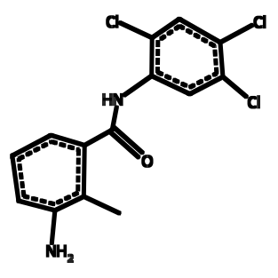 Cc1c(N)cccc1C(=O)Nc1cc(Cl)c(Cl)cc1Cl